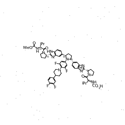 COC(=O)N[C@H](C(=O)N1CCC[C@H]1c1nc2cc([C@H]3CC[C@H](c4ccc5[nH]c([C@@H]6CCCN6C(=O)[C@@H](NC(=O)O)C(C)C)nc5c4)N3c3cc(F)c(N4CCC(c5ccc(F)c(F)c5)CC4)c(F)c3)ccc2[nH]1)C(C)C